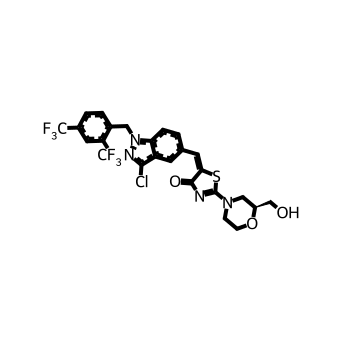 O=C1N=C(N2CCO[C@H](CO)C2)SC1=Cc1ccc2c(c1)c(Cl)nn2Cc1ccc(C(F)(F)F)cc1C(F)(F)F